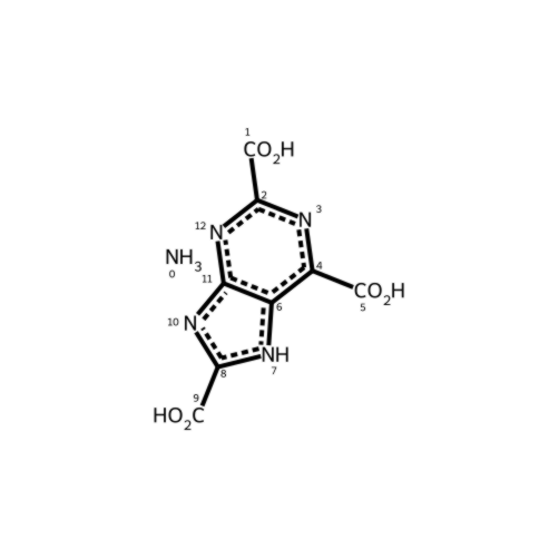 N.O=C(O)c1nc(C(=O)O)c2[nH]c(C(=O)O)nc2n1